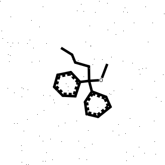 CCCCC(OC)(c1ccccc1)c1ccccc1